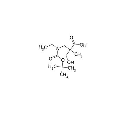 CCN(CC(C)(CO)C(=O)O)C(=O)OC(C)(C)C